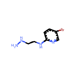 NNCCNc1ccc(Br)cn1